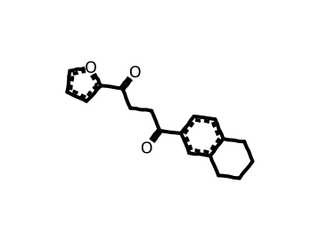 O=C(CCC(=O)c1ccco1)c1ccc2c(c1)CCCC2